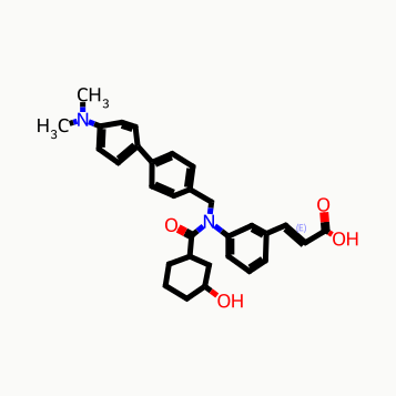 CN(C)c1ccc(-c2ccc(CN(C(=O)C3CCCC(O)C3)c3cccc(/C=C/C(=O)O)c3)cc2)cc1